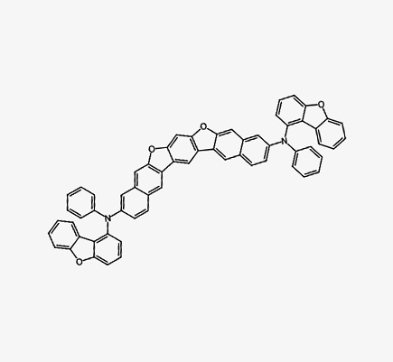 c1ccc(N(c2ccc3cc4c(cc3c2)oc2cc3oc5cc6cc(N(c7ccccc7)c7cccc8oc9ccccc9c78)ccc6cc5c3cc24)c2cccc3oc4ccccc4c23)cc1